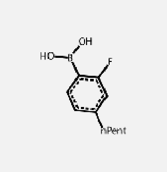 CCCCCc1ccc(B(O)O)c(F)c1